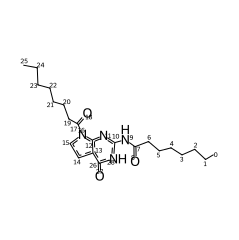 CCCCCCCC(=O)Nc1nc2c(ccn2C(=O)CCCCCCC)c(=O)[nH]1